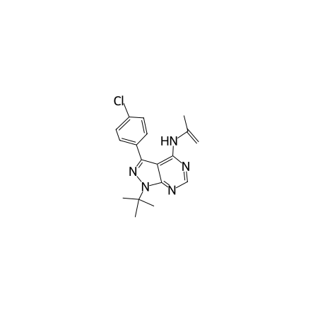 C=C(C)Nc1ncnc2c1c(-c1ccc(Cl)cc1)nn2C(C)(C)C